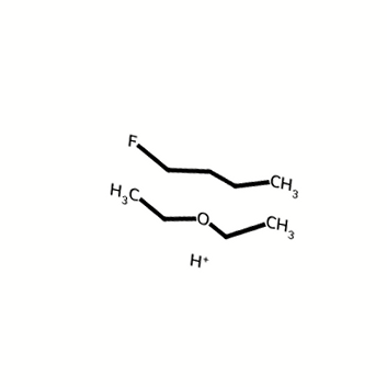 CCCCF.CCOCC.[H+]